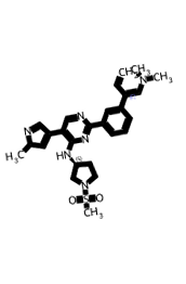 C=C/C(=C\N(C)C)c1cccc(-c2ncc(C3=CC(C)N=C3)c(N[C@H]3CCN(S(C)(=O)=O)C3)n2)c1